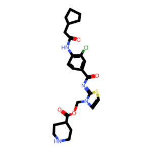 O=C(CC1CCCC1)Nc1ccc(C(=O)N=c2sccn2COC(=O)C2CCNCC2)cc1Cl